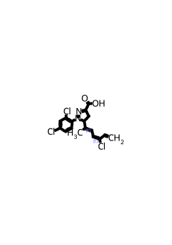 C=C/C(Cl)=C\C=C(/C)C1CC(C(=O)O)=NN1c1ccc(Cl)cc1Cl